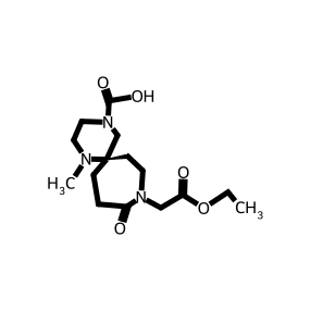 CCOC(=O)CN1CC[C@]2(CCC1=O)CN(C(=O)O)CCN2C